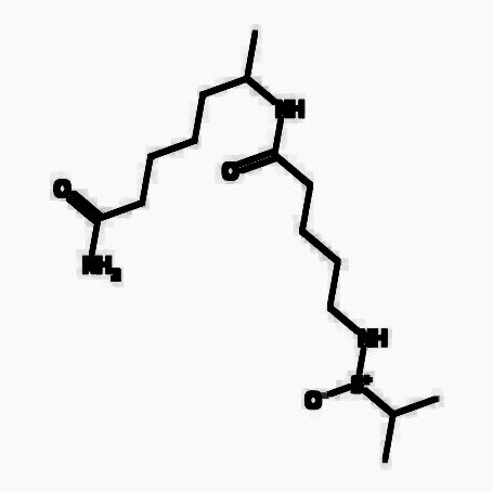 CC(CCCCC(N)=O)NC(=O)CCCCN[S+]([O-])C(C)C